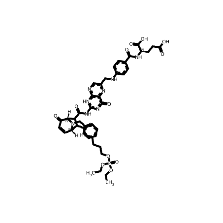 CCOP(=O)(OCC)OCCCCNC(=O)C1C(C(=O)Nc2nc(=O)c3nc(CNc4ccc(C(=O)N[C@H](CCC(=O)O)C(=O)O)cc4)cnc3[nH]2)[C@H]2C(=O)C=C[C@@H]1N2Cc1ccccc1